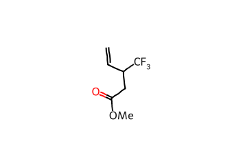 C=CC(CC(=O)OC)C(F)(F)F